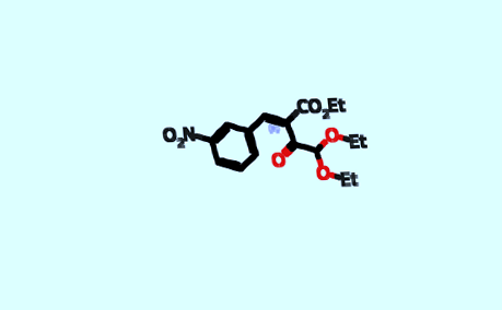 CCOC(=O)/C(=C/c1cccc([N+](=O)[O-])c1)C(=O)C(OCC)OCC